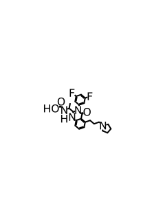 CC(NC(=O)O)c1nc2cccc(CCCN3CCCC3)c2c(=O)n1-c1cc(F)cc(F)c1